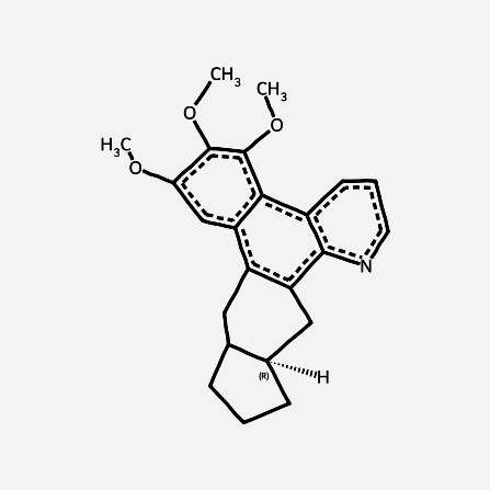 COc1cc2c3c(c4ncccc4c2c(OC)c1OC)C[C@H]1CCCC1C3